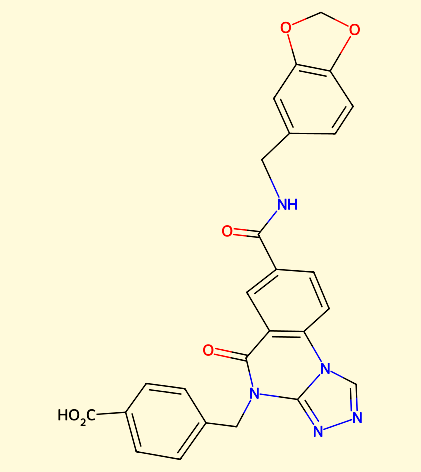 O=C(O)c1ccc(Cn2c(=O)c3cc(C(=O)NCc4ccc5c(c4)OCO5)ccc3n3cnnc23)cc1